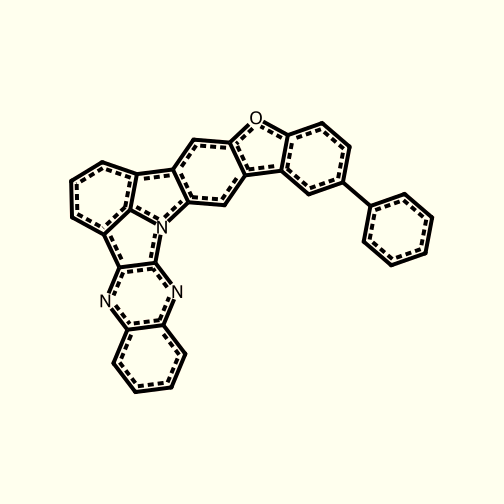 c1ccc(-c2ccc3oc4cc5c6cccc7c8nc9ccccc9nc8n(c5cc4c3c2)c67)cc1